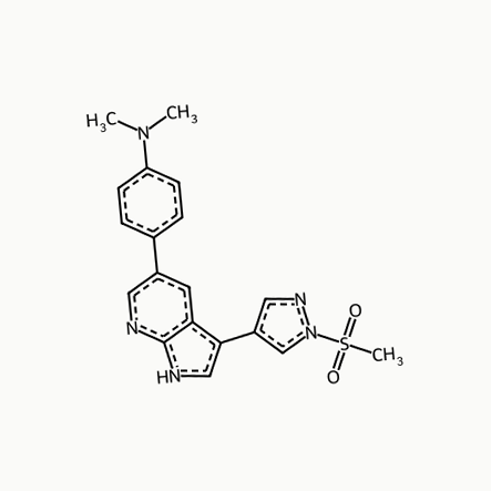 CN(C)c1ccc(-c2cnc3[nH]cc(-c4cnn(S(C)(=O)=O)c4)c3c2)cc1